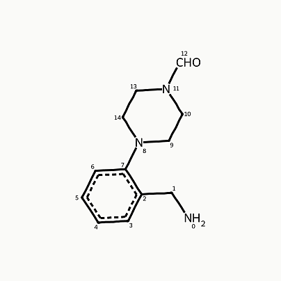 NCc1ccccc1N1CCN(C=O)CC1